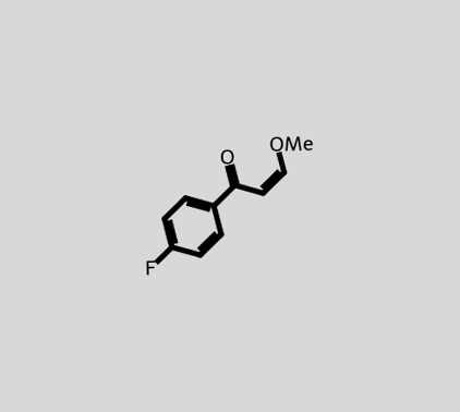 CO/C=C\C(=O)c1ccc(F)cc1